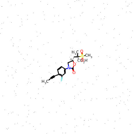 CC#Cc1ccc(N2C[C@H](C[C@](C)(C(=O)O)S(C)(=O)=O)OC2=O)cc1F